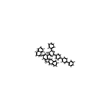 c1ccc(-c2ccc(-c3ccc(C4=NC(c5ccccc5)NC(c5cc(-c6cccc7ccccc67)cc6oc7cc8ccccc8cc7c56)=N4)cc3)cc2)cc1